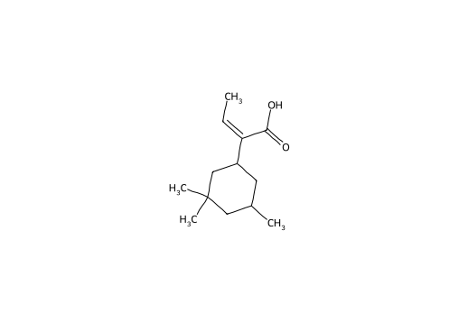 C/C=C(\C(=O)O)C1CC(C)CC(C)(C)C1